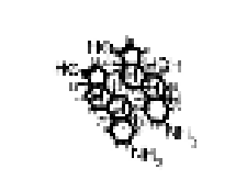 C[C@]12CC[C@H](N)C[C@H]1CC[C@@H]1[C@@H]2CC[C@]2(C)C(O)=CC[C@@H]12.C[C@]12CC[C@H](N)C[C@H]1C[C@H](O)[C@@H]1[C@@H]2CC[C@]2(C)C(O)=CC[C@@H]12